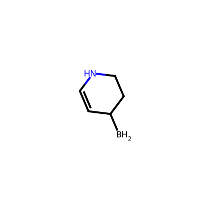 BC1C=CNCC1